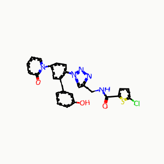 O=C(NCc1cn(-c2ccc(-n3ccccc3=O)cc2-c2cccc(O)c2)nn1)c1ccc(Cl)s1